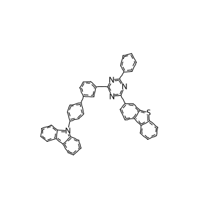 c1ccc(-c2nc(-c3cccc(-c4ccc(-n5c6ccccc6c6ccccc65)cc4)c3)nc(-c3ccc4c(c3)sc3ccccc34)n2)cc1